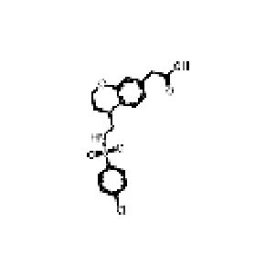 O=C(O)Cc1ccc2c(c1)OCCC2CNS(=O)(=O)c1ccc(Cl)cc1